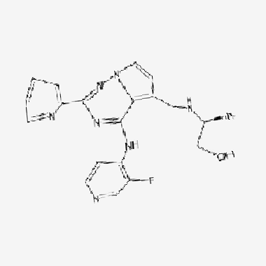 CCC[C@@H](CO)NCc1ccn2nc(-c3ccccn3)nc(Nc3ccncc3F)c12